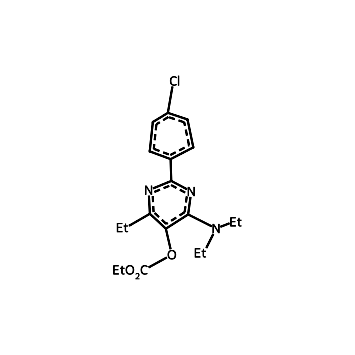 CCOC(=O)Oc1c(CC)nc(-c2ccc(Cl)cc2)nc1N(CC)CC